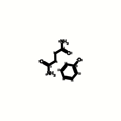 NC(=O)CCC(N)=O.[O]c1ccccc1